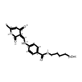 CCCCCCCCCCCCCCOC(=O)c1ccc(NC=C2C(=O)C=C(C)OC2=O)cc1